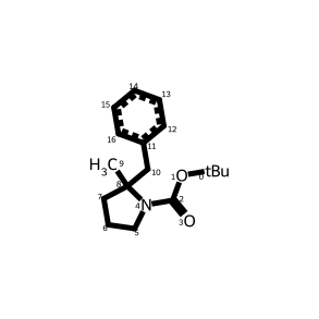 CC(C)(C)OC(=O)N1CCCC1(C)Cc1ccccc1